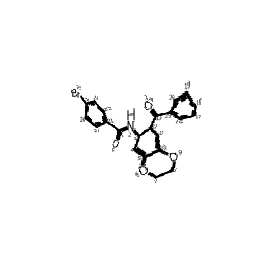 O=C(NC1C=C2OCCOC2=CC1C(=O)c1ccccc1)c1ccc(Br)cc1